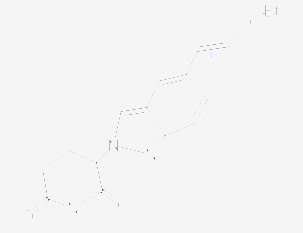 CCO/C=C/c1ccc2nn(C3CCC(=O)NC3=O)cc2c1